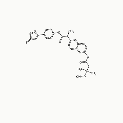 C[C@H](C(=O)Oc1ccc(-c2cc(=S)ss2)cc1)c1ccc2cc(OC(=O)CC(C)(C)SN=O)ccc2c1